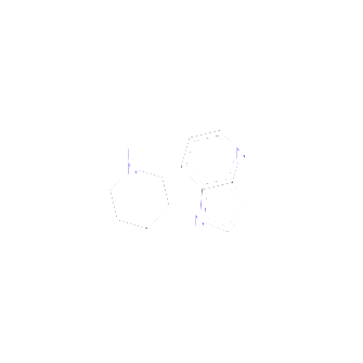 C1CCNCC1.c1cnc2scnc2c1